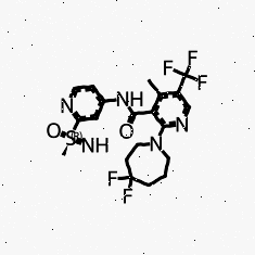 Cc1c(C(F)(F)F)cnc(N2CCCC(F)(F)CC2)c1C(=O)Nc1ccnc([S@](C)(=N)=O)c1